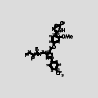 COc1cc(OCc2sc(-c3ccc(C(F)(F)F)cc3)nc2CNC(F)C(F)CF)ccc1-c1noc(=O)[nH]1